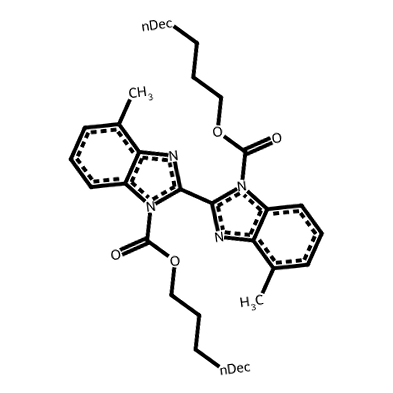 CCCCCCCCCCCCCOC(=O)n1c(-c2nc3c(C)cccc3n2C(=O)OCCCCCCCCCCCCC)nc2c(C)cccc21